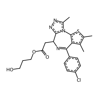 Cc1sc2c(c1C)C(c1ccc(Cl)cc1)=NC(CC(=O)OCCCO)c1nnc(C)n1-2